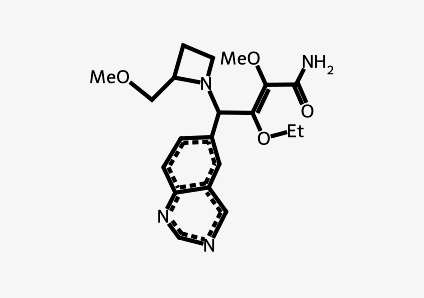 CCO/C(=C(/OC)C(N)=O)C(c1ccc2ncncc2c1)N1CCC1COC